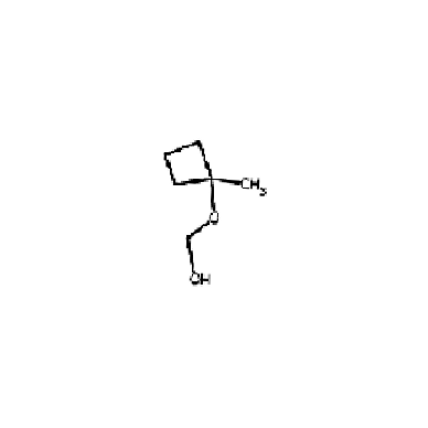 CC1(OCO)CCC1